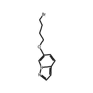 BrCCCCOc1ccc2ccnn2c1